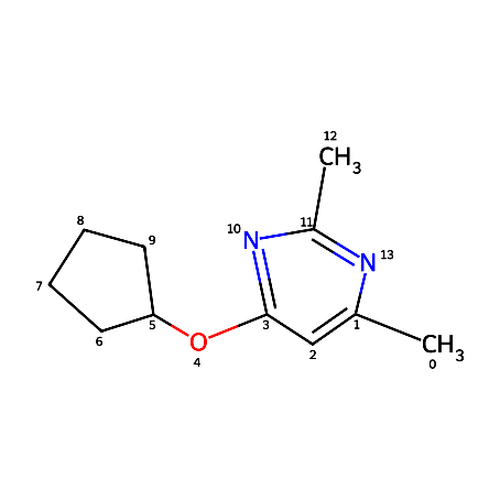 Cc1cc(OC2CCCC2)nc(C)n1